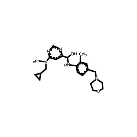 CCCN(CC1CC1)c1cc(C(O)Nc2ccc(CN3CCOCC3)cc2C)ncn1